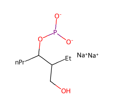 CCCC(OP([O-])[O-])C(CC)CO.[Na+].[Na+]